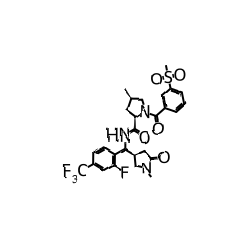 C[C@@H]1C[C@H](C(=O)NC(c2ccc(C(F)(F)F)cc2F)C2CC(=O)N(C)C2)N(C(=O)c2cccc(S(C)(=O)=O)c2)C1